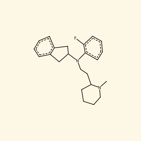 CN1CCCCC1CCN(c1ccccc1F)C1Cc2ccccc2C1